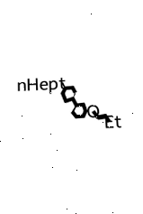 CCC=CO[C@@H]1CCC[C@@H]([C@H]2CC[C@H](CCCCCCC)CC2)C1